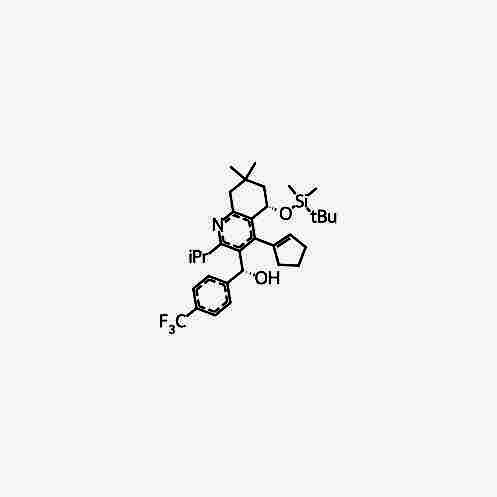 CC(C)c1nc2c(c(C3=CCCC3)c1[C@H](O)c1ccc(C(F)(F)F)cc1)[C@@H](O[Si](C)(C)C(C)(C)C)CC(C)(C)C2